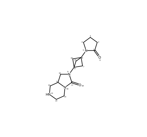 O=C1CCCN1C12CC(N3CC4CNCCN4C3=O)(C1)C2